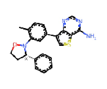 Cc1ccc(-c2csc3c(N)ncnc23)cc1N1OCC[C@H]1c1ccccc1